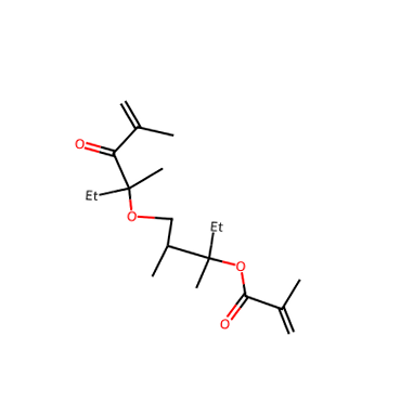 C=C(C)C(=O)OC(C)(CC)C(C)COC(C)(CC)C(=O)C(=C)C